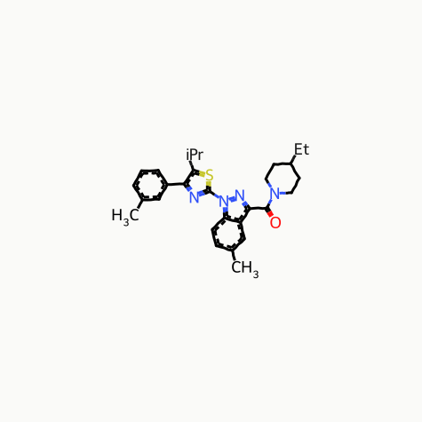 CCC1CCN(C(=O)c2nn(-c3nc(-c4cccc(C)c4)c(C(C)C)s3)c3ccc(C)cc23)CC1